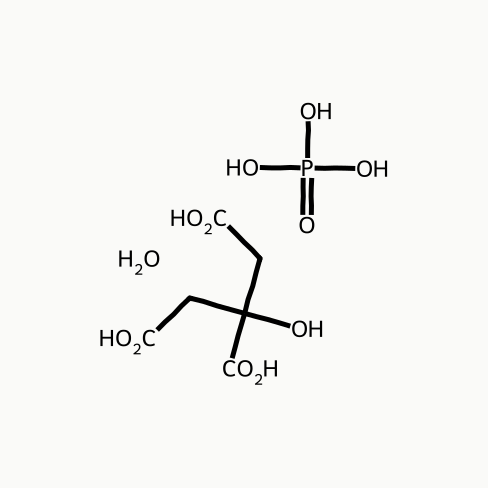 O.O=C(O)CC(O)(CC(=O)O)C(=O)O.O=P(O)(O)O